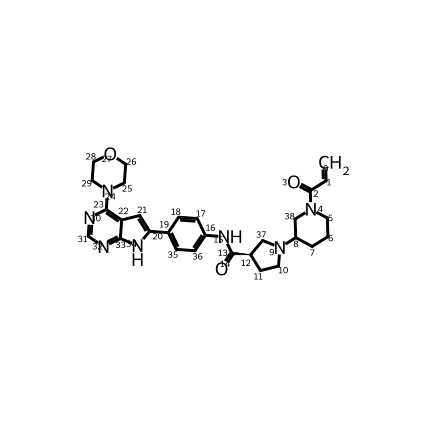 C=CC(=O)N1CCCC(N2CC[C@@H](C(=O)Nc3ccc(-c4cc5c(N6CCOCC6)ncnc5[nH]4)cc3)C2)C1